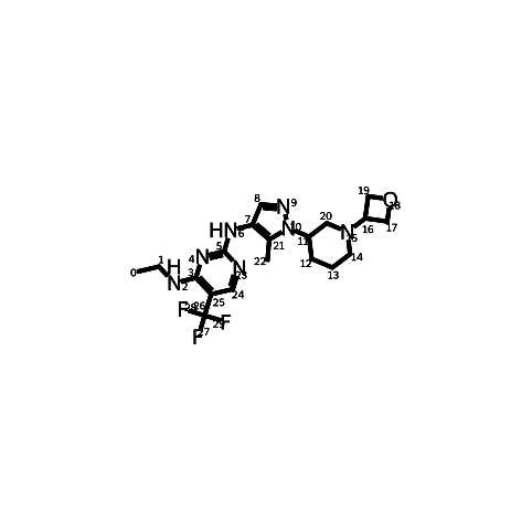 CCNc1nc(Nc2cnn(C3CCCN(C4COC4)C3)c2C)ncc1C(F)(F)F